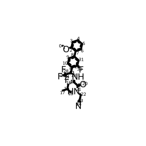 COc1ccccc1-c1ccc([C@H](N[C@@H](CC(C)C)C(=O)NCC#N)C(F)(F)F)c(F)c1